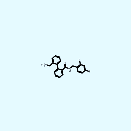 NCc1ccccc1-c1ccccc1C(=O)NCc1ccc(F)cc1F